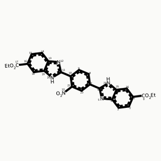 CCOC(=O)c1ccc2nc(-c3ccc(-c4nc5ccc(C(=O)OCC)cc5[nH]4)c([N+](=O)[O-])c3)[nH]c2c1